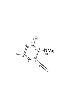 C#Cc1cc(C)cc(CC)c1NC